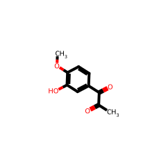 COc1ccc(C(=O)C(C)=O)cc1O